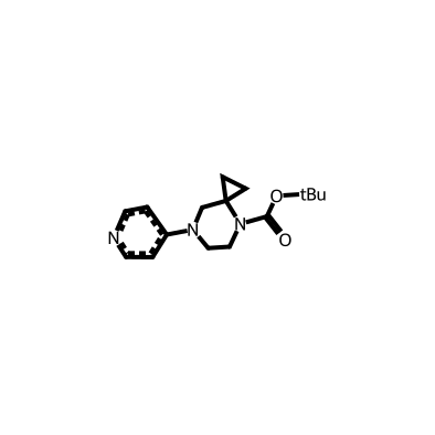 CC(C)(C)OC(=O)N1CCN(c2ccncc2)CC12CC2